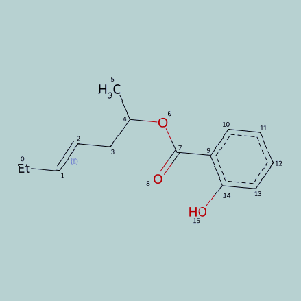 CC/C=C/CC(C)OC(=O)c1ccccc1O